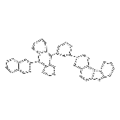 c1cc(-c2ccc3c(ccc4oc5ccccc5c43)c2)cc(-c2c3ccccc3c(-c3ccc4ccccc4c3)c3ccccc23)c1